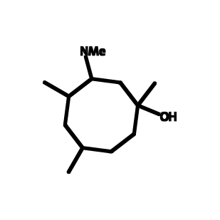 CNC1CC(C)(O)CCC(C)CC1C